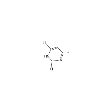 CC1=NC(Cl)NC(Cl)=C1